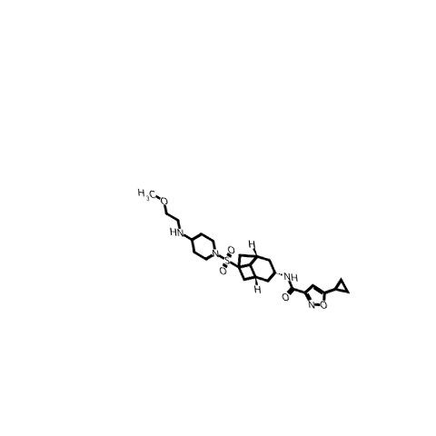 COCCNC1CCN(S(=O)(=O)C23C[C@H]4C[C@@H](NC(=O)c5cc(C6CC6)on5)C[C@@H](C2)C43)CC1